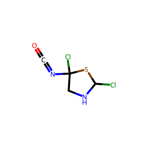 O=C=NC1(Cl)CNC(Cl)S1